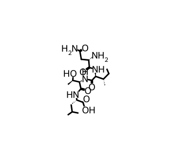 CC[C@H](C)[C@H](NC(=O)[C@@H](N)CC(N)=O)C(=O)N[C@H](C(=O)N[C@@H](CC(C)C)C(=O)O)[C@@H](C)O